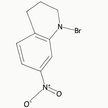 O=[N+]([O-])c1ccc2c(c1)N(Br)CCC2